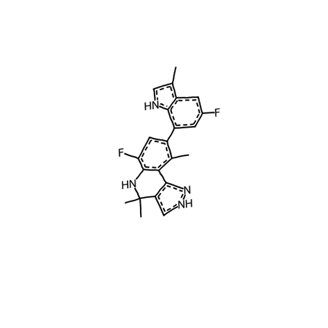 Cc1c(-c2cc(F)cc3c(C)c[nH]c23)cc(F)c2c1-c1n[nH]cc1C(C)(C)N2